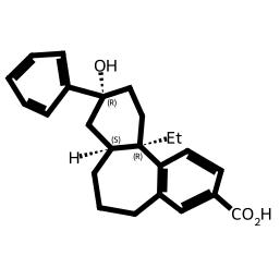 CC[C@@]12CC[C@](O)(c3ccccc3)C[C@@H]1CCCc1cc(C(=O)O)ccc12